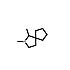 CC1N(C)CCC12CCCC2